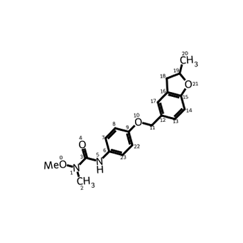 CON(C)C(=O)Nc1ccc(OCc2ccc3c(c2)CC(C)O3)cc1